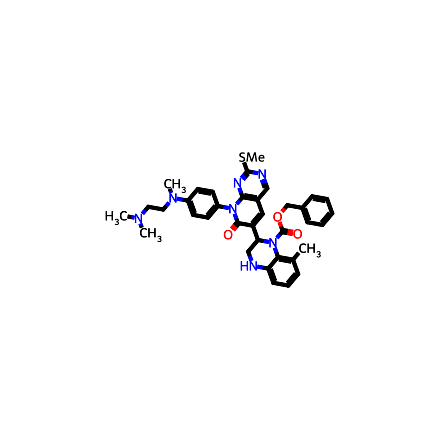 CSc1ncc2cc(C3CNc4cccc(C)c4N3C(=O)OCc3ccccc3)c(=O)n(-c3ccc(N(C)CCN(C)C)cc3)c2n1